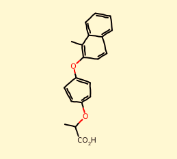 Cc1c(Oc2ccc(OC(C)C(=O)O)cc2)ccc2ccccc12